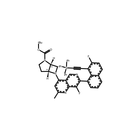 Cc1cc(N2C[C@@H]3[C@H]2CCN3C(=O)OC(C)(C)C)c2cnc(-c3cccc4ccc(F)c(C#C[Si](C(C)C)(C(C)C)C(C)C)c34)c(F)c2n1